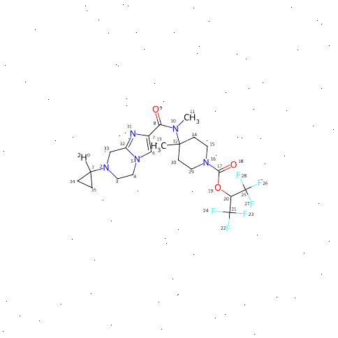 [2H]C1(N2CCn3cc(C(=O)N(C)C4(C)CCN(C(=O)OC(C(F)(F)F)C(F)(F)F)CC4)nc3C2)CC1